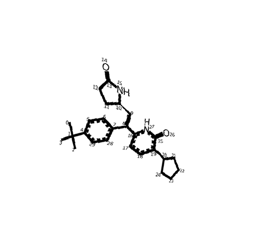 CC(C)(C)c1ccc(/C(=C\[C@H]2CCC(=O)N2)c2ccc(C3CCCC3)c(=O)[nH]2)cc1